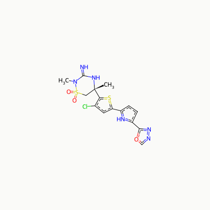 CN1C(=N)N[C@](C)(c2sc(-c3ccc(-c4nnco4)[nH]3)cc2Cl)CS1(=O)=O